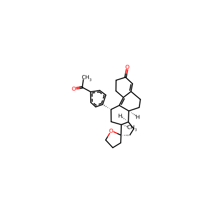 CC(=O)c1ccc([C@H]2C[C@@]3(C)[C@H](CC[C@@]34CCCO4)[C@@H]3CCC4=CC(=O)CCC4=C32)cc1